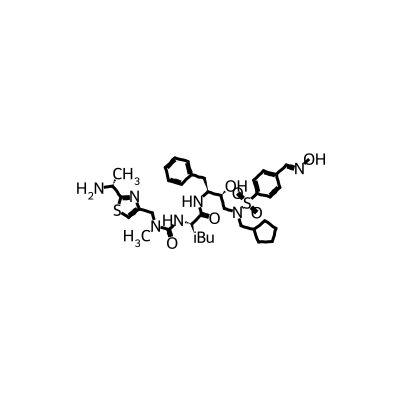 CC[C@H](C)[C@H](NC(=O)N(C)Cc1csc([C@@H](C)N)n1)C(=O)N[C@@H](Cc1ccccc1)[C@H](O)CN(CC1CCCC1)S(=O)(=O)c1ccc(/C=N/O)cc1